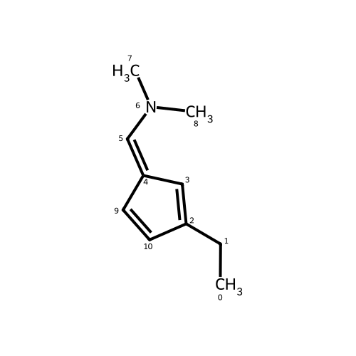 CCC1=CC(=CN(C)C)C=C1